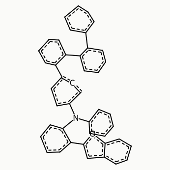 c1ccc(-c2ccccc2-c2ccccc2-c2ccc(N(c3ccccc3)c3ccccc3-c3cc4ccccc4o3)cc2)cc1